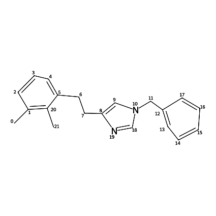 Cc1cccc(CCc2cn(Cc3ccccc3)cn2)c1C